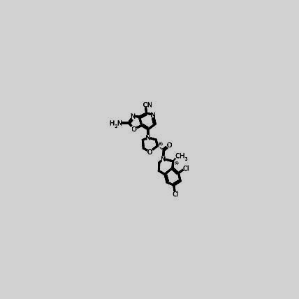 C[C@H]1c2c(Cl)cc(Cl)cc2CCN1C(=O)[C@H]1CN(c2cnc(C#N)c3nc(N)oc23)CCO1